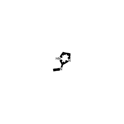 C=Nc1ncc[nH]1